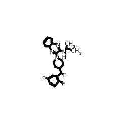 CC(C)Nc1nc2ccccc2nc1N1CCC(C(F)c2cc(F)ccc2F)CC1